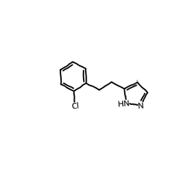 Clc1ccccc1CCc1[c]cn[nH]1